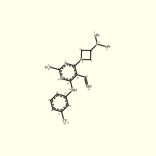 CCCN(CCC)C1CN(c2nc(N)nc(Nc3cccc(C(F)(F)F)c3)c2C=N)C1